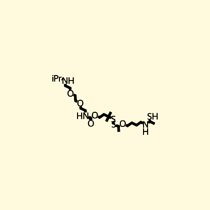 CC(C)NCCOCCOCCNC(=O)OCCC(C)(C)SSC(C)OCCCCNC(C)S